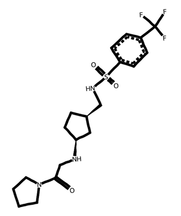 O=C(CN[C@H]1CC[C@@H](CNS(=O)(=O)c2ccc(C(F)(F)F)cc2)C1)N1CCCC1